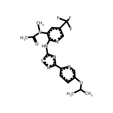 CC(=O)N(C)c1cc(C(F)(F)F)cnc1Nc1nc(-c2ccc(OC(C)C)cn2)ns1